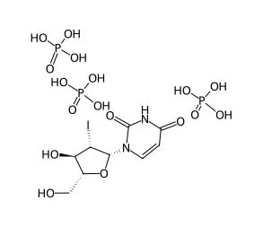 O=P(O)(O)O.O=P(O)(O)O.O=P(O)(O)O.O=c1ccn([C@@H]2O[C@H](CO)[C@@H](O)[C@@H]2I)c(=O)[nH]1